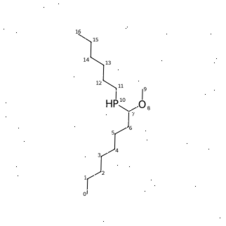 CCCCCCCC(OC)PCCCCCC